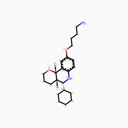 NCCCCOc1ccc2c(c1)[C@H]1OCCC[C@H]1[C@@H](C1CCCCC1)N2